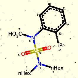 CCCCCCN(CCCCCC)S(=O)(=O)N(C(=O)O)c1ccccc1C(C)C